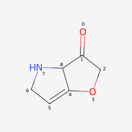 O=C1COC2=CCNC12